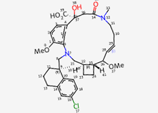 COc1ccc2cc1N(C[C@]1(C)CCCc3cc(Cl)ccc31)C[C@@H]1CC[C@H]1C(OC)/C=C/CCN(C)C(=O)C[C@@]2(O)C(=O)O